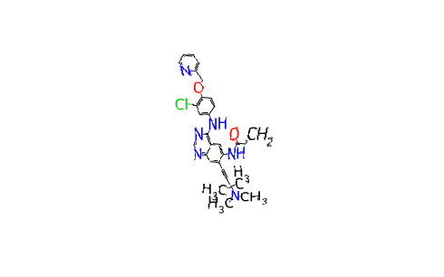 C=CC(=O)Nc1cc2c(Nc3ccc(OCc4ccccn4)c(Cl)c3)ncnc2cc1C#CC(C)(C)N(C)C